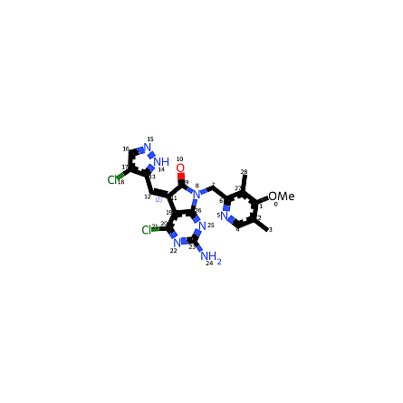 COc1c(C)cnc(CN2C(=O)/C(=C\c3[nH]ncc3Cl)c3c(Cl)nc(N)nc32)c1C